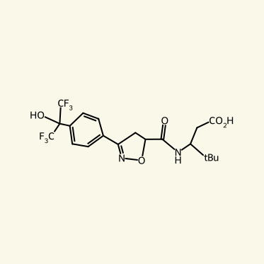 CC(C)(C)C(CC(=O)O)NC(=O)C1CC(c2ccc(C(O)(C(F)(F)F)C(F)(F)F)cc2)=NO1